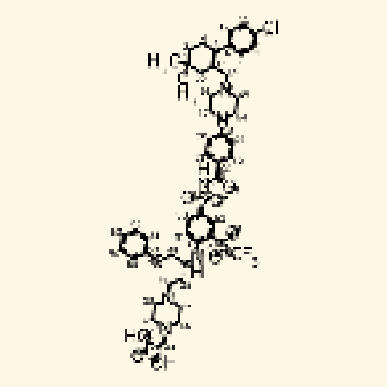 CC1(C)CCC(c2ccc(Cl)cc2)=C(CN2CCN(c3ccc(C(=O)NS(=O)(=O)c4ccc(N[C@H](CCN5CCN(CP(=O)(O)O)CC5)CSc5ccccc5)c(S(=O)(=O)C(F)(F)F)c4)cc3)CC2)C1